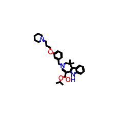 CC(C)OC(=O)C1=CN(Cc2cccc(OCCCN3CCCCC3)c2)CC(C)(C)c2c1[nH]c1ccccc21